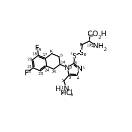 Cl.NCc1cnc(SSC[C@H](N)C(=O)O)n1C1CCc2c(F)cc(F)cc2C1